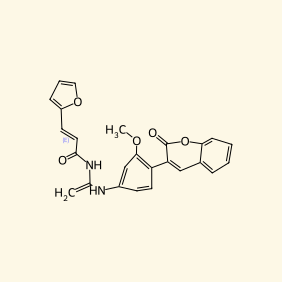 C=C(NC(=O)/C=C/c1ccco1)Nc1ccc(-c2cc3ccccc3oc2=O)c(OC)c1